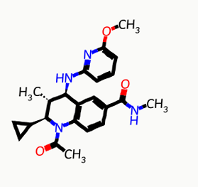 CNC(=O)c1ccc2c(c1)[C@H](Nc1cccc(OC)n1)[C@@H](C)[C@H](C1CC1)N2C(C)=O